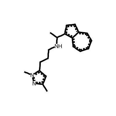 Cc1cc(CCCNC(C)c2ccc3cccccc2-3)n(C)n1